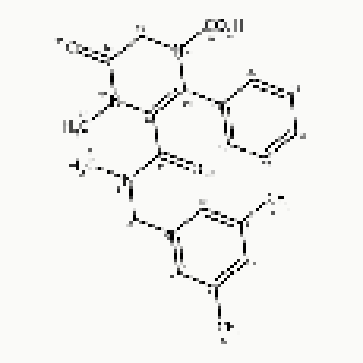 CN(Cc1cc(C(F)(F)F)cc(C(F)(F)F)c1)C(=O)C1=C(c2ccccc2)N(C(=O)O)CC(=O)N1C